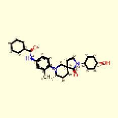 Cc1cc(NC(=O)C2CCCCC2)ccc1N1CCC[C@]2(CCN([C@H]3CC[C@H](O)CC3)C2=O)C1